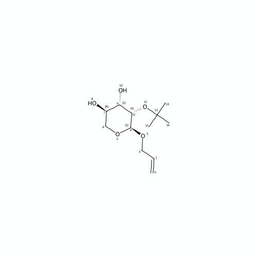 C=CCO[C@H]1OC[C@@H](O)[C@H](O)[C@@H]1OC(C)(C)C